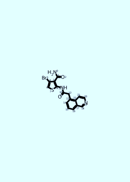 NC(=O)c1c(Br)csc1NC(=O)Cc1cccc2cnccc12